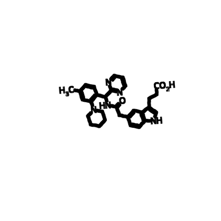 Cc1ccc(C(NC(=O)Cc2ccc3[nH]cc(CCC(=O)O)c3c2)c2ncccn2)c(N2CCCCC2)c1